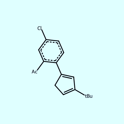 CC(=O)c1cc(Cl)ccc1C1=CC(C(C)(C)C)=CC1